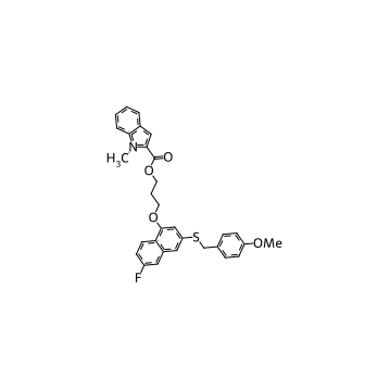 COc1ccc(CSc2cc(OCCCOC(=O)c3cc4ccccc4n3C)c3ccc(F)cc3c2)cc1